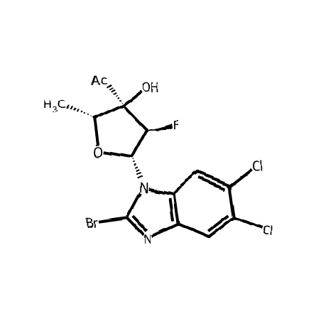 CC(=O)[C@@]1(O)[C@@H](C)O[C@@H](n2c(Br)nc3cc(Cl)c(Cl)cc32)[C@@H]1F